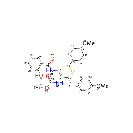 COc1ccc(CC(SCC2CCC(OC)CC2)C(CNC(=O)c2ccccc2O)NC(=O)OC(C)(C)C)cc1